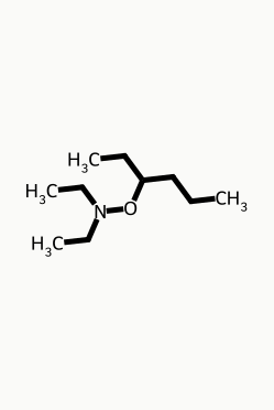 CCCC(CC)ON(CC)CC